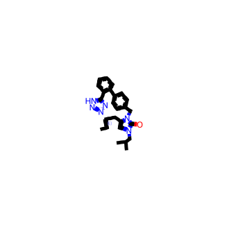 C/C=C/Cc1cn(CC(C)C)c(=O)n1Cc1ccc(-c2ccccc2-c2nnn[nH]2)cc1